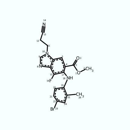 COC(=O)c1cc2c(ncn2CCC#N)c(F)c1Nc1ccc(Br)cc1C